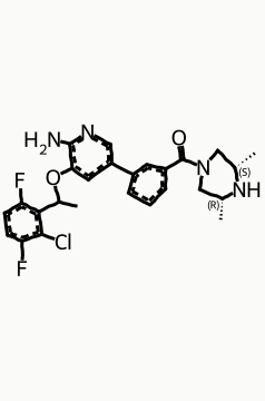 CC(Oc1cc(-c2cccc(C(=O)N3C[C@@H](C)N[C@@H](C)C3)c2)cnc1N)c1c(F)ccc(F)c1Cl